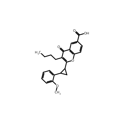 CCCCc1c(C2CC2c2ccccc2OC)oc2ccc(C(=O)O)cc2c1=O